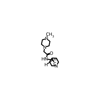 CN1CCN(CC(=O)N[C@H]2CN3CCC2CC3)CC1